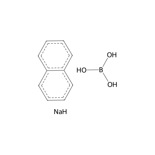 OB(O)O.[NaH].c1ccc2ccccc2c1